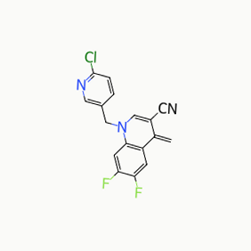 C=C1C(C#N)=CN(Cc2ccc(Cl)nc2)c2cc(F)c(F)cc21